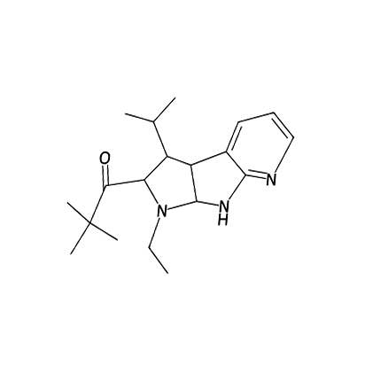 CCN1C2Nc3ncccc3C2C(C(C)C)C1C(=O)C(C)(C)C